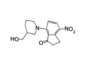 O=C1CCc2c([N+](=O)[O-])ccc(N3CCCC(CO)C3)c21